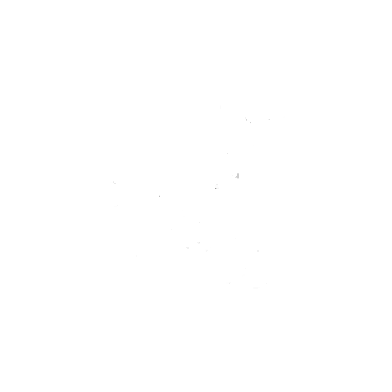 CN(C)CCNC(=O)Cc1cc(C(=O)c2ccco2)sc1-c1ccc(Cl)cc1